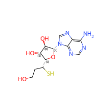 Nc1ncnc2c1ncn2[C@@H]1O[C@H](C(S)CCO)[C@@H](O)[C@H]1O